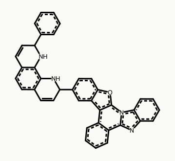 C1=CC(c2ccccc2)Nc2c1ccc1c2NC(c2ccc3oc4c(c3c2)c2ccccc2c2nc3ccccc3n24)C=C1